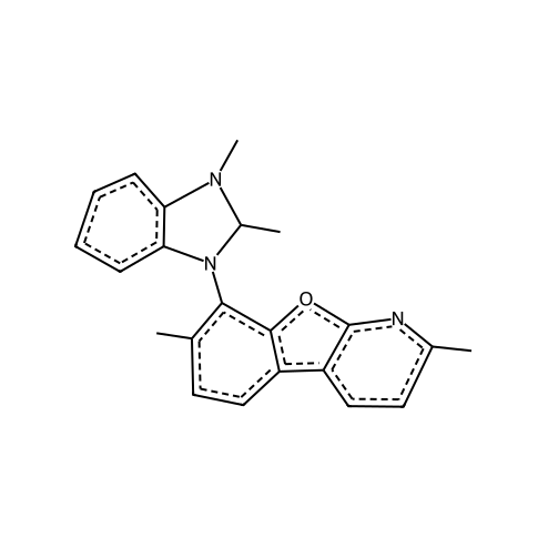 Cc1ccc2c(n1)oc1c(N3c4ccccc4N(C)C3C)c(C)ccc12